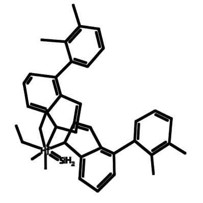 C[CH2][Hf]([CH3])([CH3])(=[SiH2])([CH2]C)([CH]1C=Cc2c(-c3cccc(C)c3C)cccc21)[CH]1C=Cc2c(-c3cccc(C)c3C)cccc21